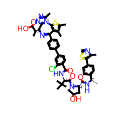 Cc1ncsc1-c1ccc([C@H](C)NC(=O)[C@@H]2C[C@@H](O)CN2C(=O)[C@@H](NC(=O)c2ccc(-c3ccc(C4=N[C@@H](C(C)C(=O)O)c5nnc(C)n5-c5sc(C)c(C)c54)cc3)cc2Cl)C(C)(C)C)cc1